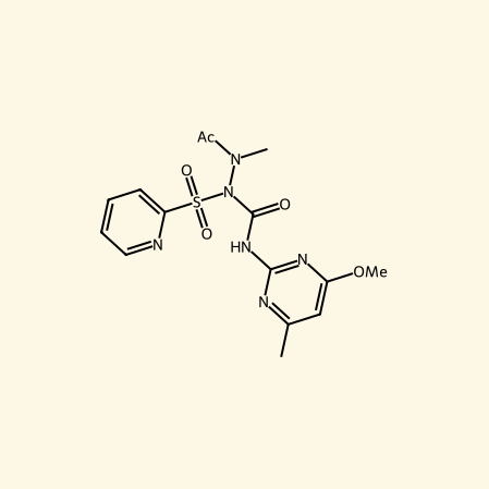 COc1cc(C)nc(NC(=O)N(N(C)C(C)=O)S(=O)(=O)c2ccccn2)n1